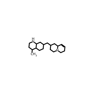 CC1CCNC2CC(CC3CCN4CCC=CC4C3)CCC12